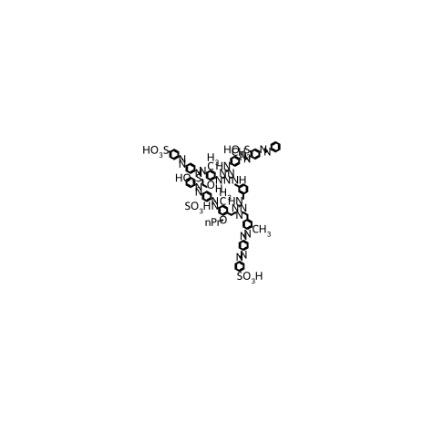 CCCOc1cc(N=Nc2ccc(N=Nc3ccccc3)cc2S(=O)(=O)O)c(C)cc1Cc1nc(Cc2ccc(N=Nc3ccc(N=Nc4ccc(S(=O)(=O)O)cc4)cc3)c(C)c2)nc(NCc2cccc(CNc3nc(Nc4ccc(N=Nc5ccc(N=Nc6ccccc6)cc5S(=O)(=O)O)c(C)c4)nc(Nc4cc(C)c(N=Nc5ccc(N=Nc6ccc(S(=O)(=O)O)cc6)cc5)cc4OCCCS(=O)(=O)O)n3)c2)n1